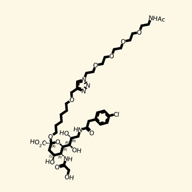 CC(=O)NCCOCCOCCOCCOCCn1cc(COCCCCCCO[C@]2(C(=O)O)C[C@H](O)[C@@H](NC(=O)CO)[C@H]([C@H](O)[C@H](O)CNC(=O)Cc3ccc(Cl)cc3)O2)nn1